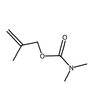 C=C(C)COC(=O)N(C)C